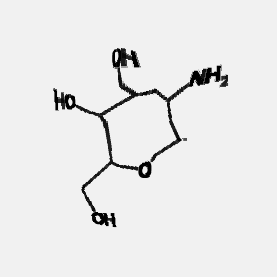 NC1[CH]OC(CO)C(O)C1O